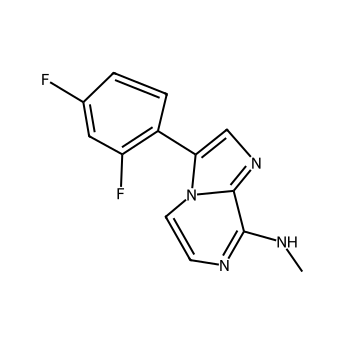 CNc1nccn2c(-c3ccc(F)cc3F)cnc12